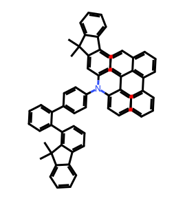 CC1(C)c2ccccc2-c2ccc(N(c3ccc(-c4ccccc4-c4cccc5c4C(C)(C)c4ccccc4-5)cc3)c3ccccc3-c3cccc4cccc(-c5ccccc5)c34)cc21